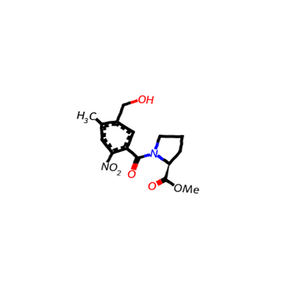 COC(=O)[C@@H]1CCCN1C(=O)c1cc(CO)c(C)cc1[N+](=O)[O-]